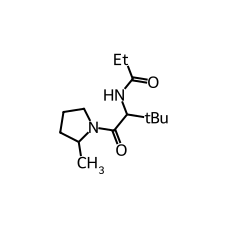 CCC(=O)NC(C(=O)N1CCCC1C)C(C)(C)C